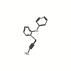 OC#CCc1ccccc1Oc1ccccc1